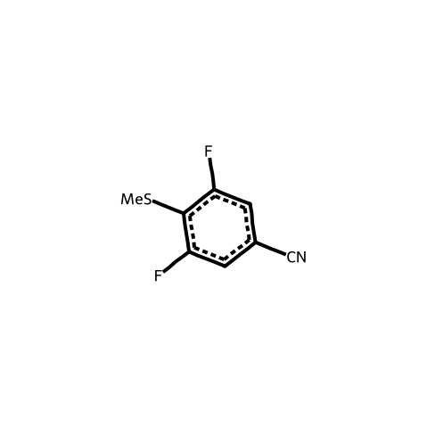 CSc1c(F)cc(C#N)cc1F